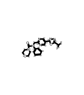 O=C(N1CCOCC1)N(Cc1ncc(-c2nnc(C(F)F)o2)cn1)c1ccccc1